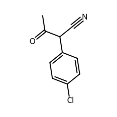 CC(=O)C(C#N)c1ccc(Cl)cc1